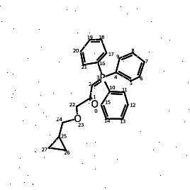 O=C(C=P(c1ccccc1)(c1ccccc1)c1ccccc1)COCC1CC1